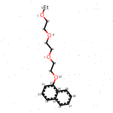 CCOCCOCCOCCOc1cccc2ccccc12